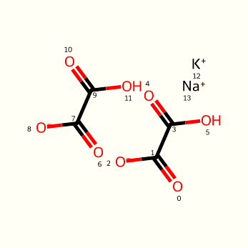 O=C([O-])C(=O)O.O=C([O-])C(=O)O.[K+].[Na+]